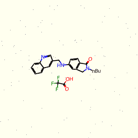 CCCCN1Cc2cc(NCc3cnc4ccccc4c3)ccc2C1=O.O=C(O)C(F)(F)F